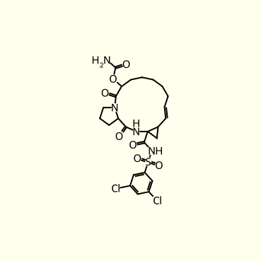 NC(=O)OC1CCCCC/C=C/C2CC2(C(=O)NS(=O)(=O)c2cc(Cl)cc(Cl)c2)NC(=O)C2CCCN2C1=O